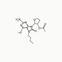 CCCCn1c(=O)n(C2OCCC2OC(C)=O)c2nc(N)nc(OC)c21